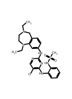 CCN1CCN(CC)c2cc(Nc3ncc(Cl)c(Nc4ccccc4NS(C)(=O)=O)n3)ccc2C1